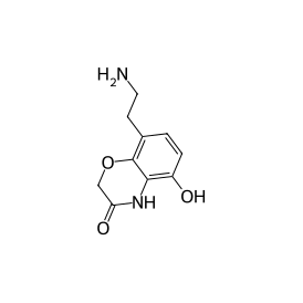 NCCc1ccc(O)c2c1OCC(=O)N2